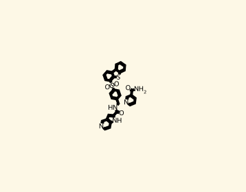 NC(=O)c1cccnc1.O=C(NCc1ccc(S(=O)(=O)c2cccc3c2sc2ccccc23)cc1)c1cc2cnccc2[nH]1